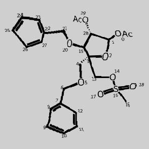 CC(=O)OC1O[C@@](COCc2ccccc2)(COS(C)(=O)=O)C(OCc2ccccc2)[C@@H]1OC(C)=O